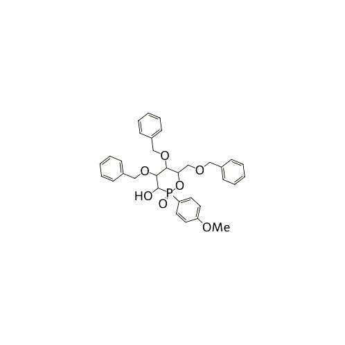 COc1ccc(P2(=O)OC(COCc3ccccc3)C(OCc3ccccc3)C(OCc3ccccc3)C2O)cc1